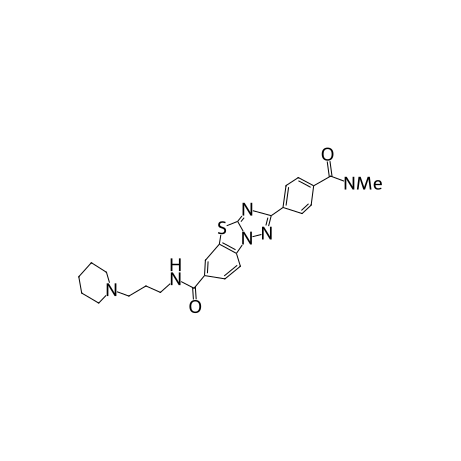 CNC(=O)c1ccc(-c2nc3sc4cc(C(=O)NCCCN5CCCCC5)ccc4n3n2)cc1